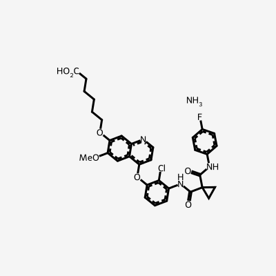 COc1cc2c(Oc3cccc(NC(=O)C4(C(=O)Nc5ccc(F)cc5)CC4)c3Cl)ccnc2cc1OCCCCCC(=O)O.N